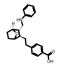 O=C(O)c1ccc(CC[C@H]2C3CC[C@H](O3)[C@@H]2CNc2ccccc2)cc1